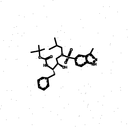 Cc1n[nH]c2ccc(S(=O)(=O)N(CC(C)C)C[C@@H](O)[C@H](Cc3ccccc3)NC(=O)OC(C)(C)C)cc12